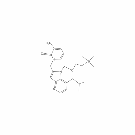 CC(C)Cc1ccnc2cc(Cn3cccc(N)c3=O)n(COCC[Si](C)(C)C)c12